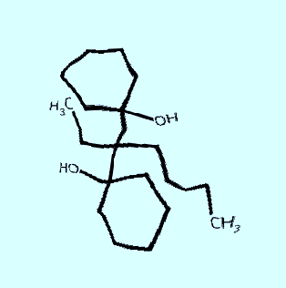 CCCCC(CC)(C1(O)CCCCC1)C1(O)CCCCC1